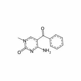 Cn1cc(C(=O)c2ccccc2)c(N)nc1=O